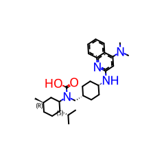 CC(C)[C@@H]1CC[C@@H](C)CC1N(C[C@H]1CC[C@@H](Nc2cc(N(C)C)c3ccccc3n2)CC1)C(=O)O